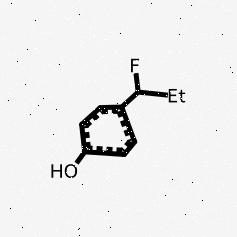 CCC(F)c1ccc(O)cc1